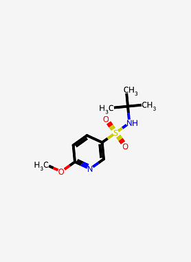 COc1ccc(S(=O)(=O)NC(C)(C)C)cn1